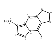 Cc1c2c(nc3c(C(=O)O)cnn13)CCC2